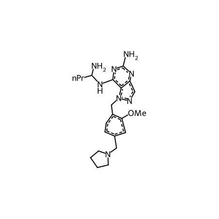 CCCC(N)Nc1nc(N)nc2cnn(Cc3ccc(CN4CCCC4)cc3OC)c12